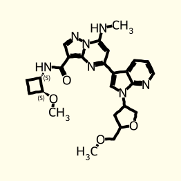 CNc1cc(-c2cn(C3COC(COC)C3)c3ncccc23)nc2c(C(=O)N[C@H]3CC[C@@H]3OC)cnn12